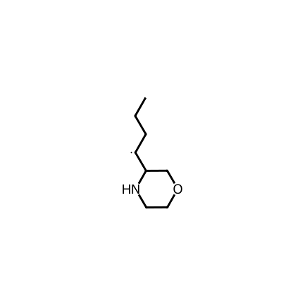 CCC[CH]C1COCCN1